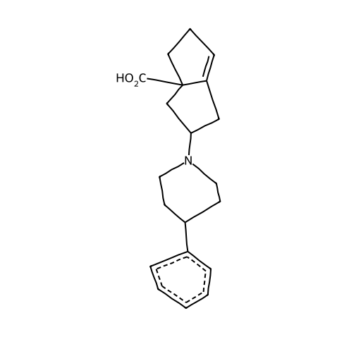 O=C(O)C12CCC=C1CC(N1CCC(c3ccccc3)CC1)C2